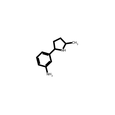 CC1CCC(c2cccc(N)c2)N1